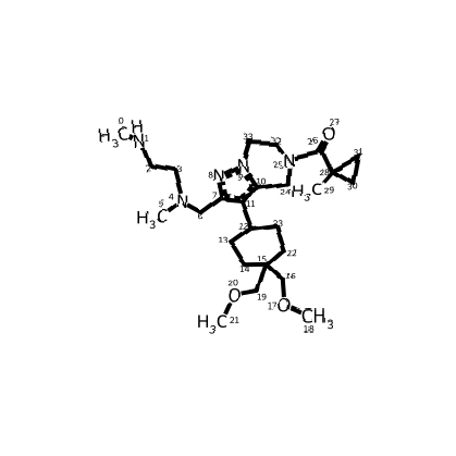 CNCCN(C)Cc1nn2c(c1C1CCC(COC)(COC)CC1)CN(C(=O)C1(C)CC1)CC2